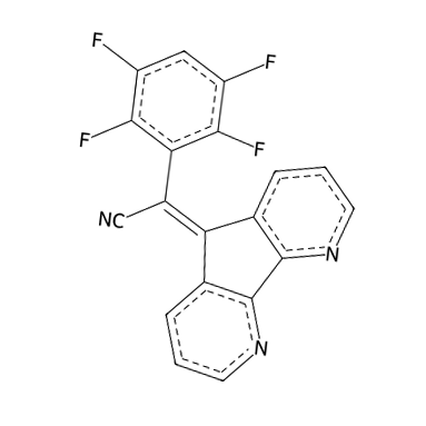 N#CC(=C1c2cccnc2-c2ncccc21)c1c(F)c(F)cc(F)c1F